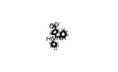 O=[N+]([O-])c1ccc(C(Nc2ccccc2)Nc2ccccc2)cc1